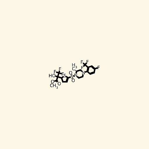 COC(=O)C(O)(C1CC=C(S(=O)(=O)N2CCN(c3ccc(F)cc3C(F)(F)F)C[C@H]2C)S1)C(F)(F)F